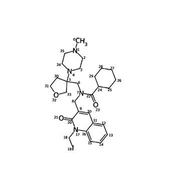 CN1CCN(C2(CN(Cc3cc4ccccc4n(CI)c3=O)C(=O)C3CCCCC3)CCOC2)CC1